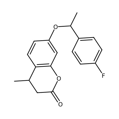 CC1CC(=O)Oc2cc(OC(C)c3ccc(F)cc3)ccc21